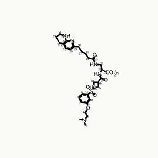 CN(C)CCOc1cccc(S(=O)(=O)N2CC(C(=O)N[C@@H](CNC(=O)CCCCc3ccc4c(n3)NCCC4)C(=O)O)C2)c1